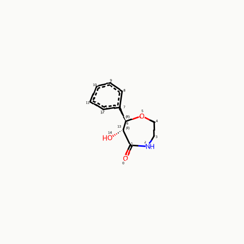 O=C1NCCO[C@H](c2ccccc2)[C@H]1O